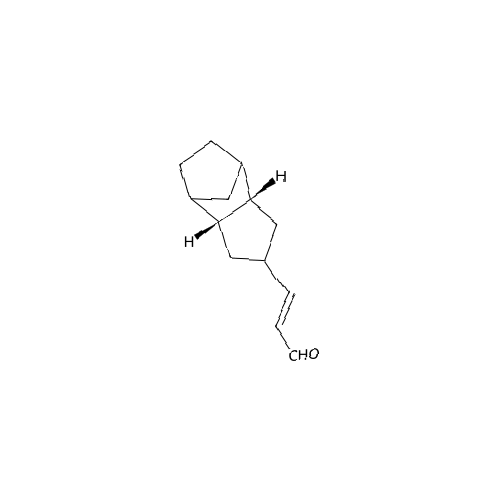 O=C/C=C/C1C[C@@H]2C3CCC(C3)[C@@H]2C1